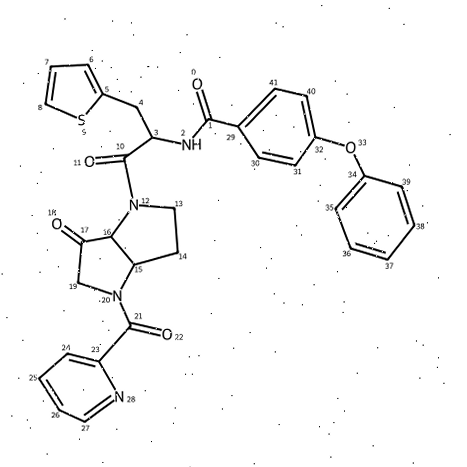 O=C(NC(Cc1cccs1)C(=O)N1CCC2C1C(=O)CN2C(=O)c1ccccn1)c1ccc(Oc2ccccc2)cc1